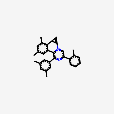 Cc1cc(C)cc(-c2nc(-c3ccccc3C)c[n+]3c2-c2cc(C)cc(C)c2C2C=C23)c1